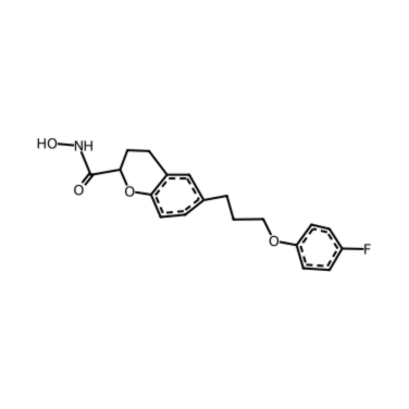 O=C(NO)C1CCc2cc(CCCOc3ccc(F)cc3)ccc2O1